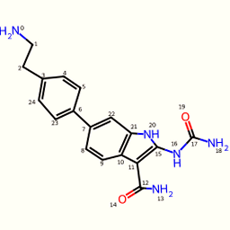 NCCc1ccc(-c2ccc3c(C(N)=O)c(NC(N)=O)[nH]c3c2)cc1